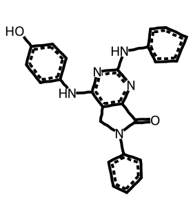 O=C1c2nc(Nc3ccccc3)nc(Nc3ccc(O)cc3)c2CN1c1ccccc1